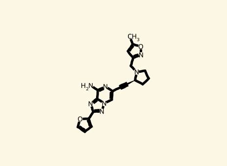 Cc1cc(CN2CCC[C@H]2C#Cc2cn3nc(-c4ccco4)nc3c(N)n2)no1